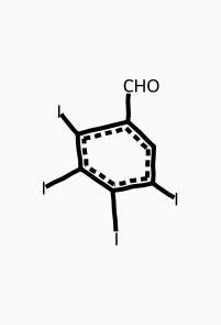 O=Cc1cc(I)c(I)c(I)c1I